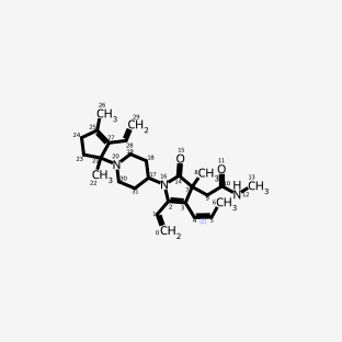 C=CC1=C(/C=C\C)C(C)(CC(=O)NC)C(=O)N1C1CCN(C2(C)CCC(C)=C2C=C)CC1